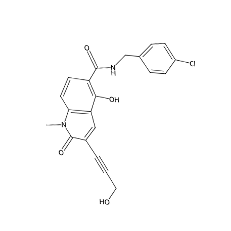 Cn1c(=O)c(C#CCO)cc2c(O)c(C(=O)NCc3ccc(Cl)cc3)ccc21